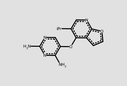 CC(C)c1cnc2occc2c1Oc1cnc(N)nc1N